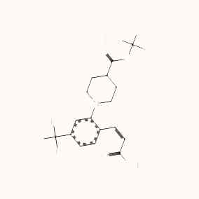 CC(=O)/C=C\c1ccc(C(F)(F)F)cc1N1CCC(C(=O)OC(C)(C)C)CC1